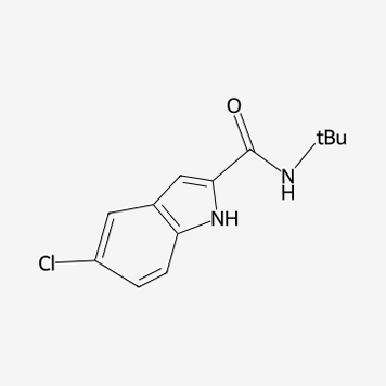 CC(C)(C)NC(=O)c1cc2cc(Cl)ccc2[nH]1